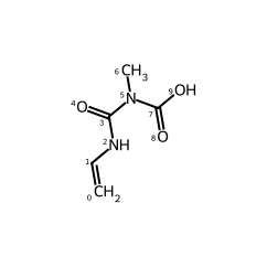 C=CNC(=O)N(C)C(=O)O